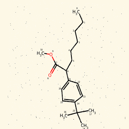 CCCCCCC(C(=O)OC)c1ccc(C(C)(C)C)cc1